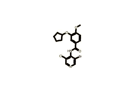 COc1ccc(C(=O)Nc2c(Cl)cncc2Br)cc1OC1CCCC1